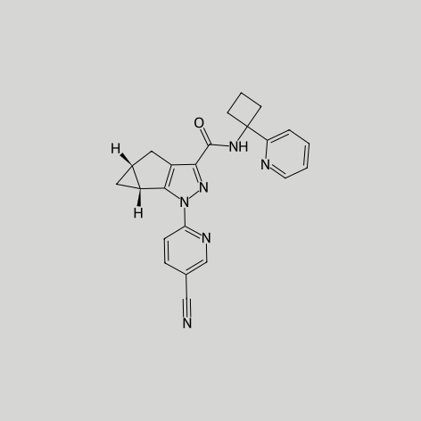 N#Cc1ccc(-n2nc(C(=O)NC3(c4ccccn4)CCC3)c3c2[C@@H]2C[C@@H]2C3)nc1